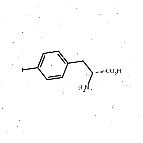 N[C@H](Cc1ccc(I)cc1)C(=O)O